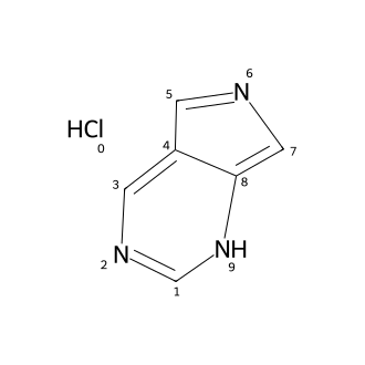 Cl.c1ncc2cncc-2[nH]1